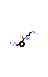 NCCCNC(=O)c1cccc(CN)c1